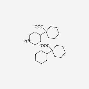 O=C([O-])C1(C2CCCCC2)CCCCC1.O=C([O-])C1(C2CCCCC2)CCCCC1.[Pt+2]